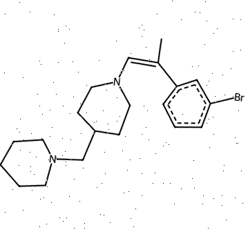 CC(=CN1CCC(CN2CCCCC2)CC1)c1cccc(Br)c1